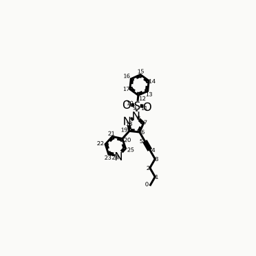 CCCCC#Cc1cn(S(=O)(=O)c2ccccc2)nc1-c1cccnc1